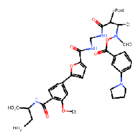 CCCCCC(C(=O)NCNC(=O)c1ccc(-c2ccc(C(=O)NC(CC(=O)O)C(=O)O)c(OCC)c2)o1)C(CC)N(C=O)OC(=O)c1cccc(N2CCCC2)c1